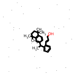 CC(c1ccc2c(c1)C(C)(C)CCC2(C)C)c1ccccc1C=CCO